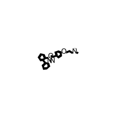 CN(C)CCCOc1ccc(-c2nnc(-c3ccccc3-c3ccccc3)o2)cc1